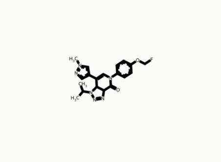 CC(C)N1N=NC2C(=O)N(c3ccc(OCF)cc3)C=C(c3cnn(C)c3)C21